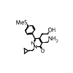 CSc1ccc(-c2nn(CC3CC3)c(=O)c(CN)c2CCO)cc1